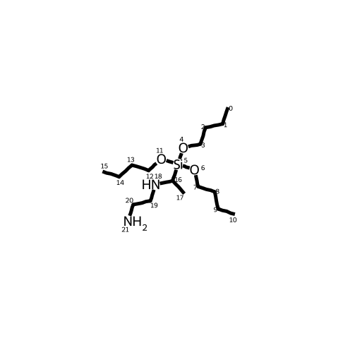 CCCCO[Si](OCCCC)(OCCCC)C(C)NCCN